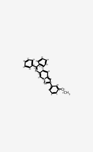 COc1cccc(-c2cc3ccc(N=C(c4ccccc4)c4ccccc4)cn3n2)c1